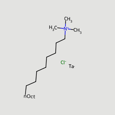 CCCCCCCCCCCCCCCC[N+](C)(C)C.[Cl-].[Ta]